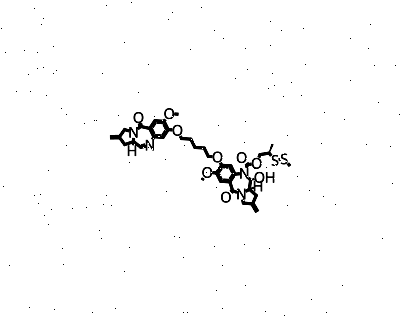 C=C1C[C@H]2C=Nc3cc(OCCCCCOc4cc5c(cc4OC)C(=O)N4CC(=C)C[C@H]4[C@H](O)N5C(=O)OC[C@@H](C)SSC)c(OC)cc3C(=O)N2C1